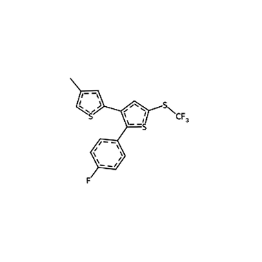 Cc1csc(-c2cc(SC(F)(F)F)sc2-c2ccc(F)cc2)c1